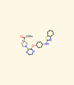 COC(=O)[C@@H]1CCN(c2nccnc2Oc2ccc(Nc3nc4ccccc4s3)cc2)C1